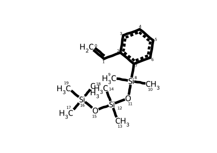 C=Cc1ccccc1[Si](C)(C)O[Si](C)(C)O[Si](C)(C)C